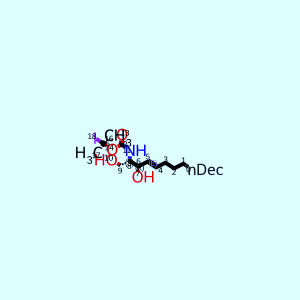 CCCCCCCCCCCCC/C=C/[C@@H](O)[C@H](CO)NC(=O)OC(C)(C)I